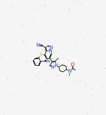 CC(=O)N(C)C1CCC(n2ncc(-c3cc(Sc4ccccc4C#N)c4c(C#N)cnn4c3)c2C)CC1